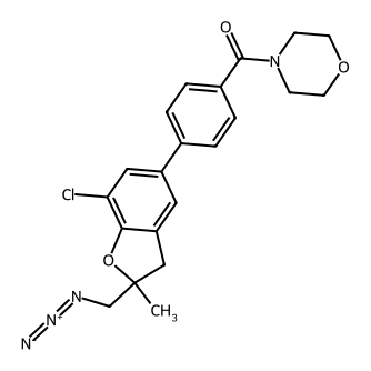 CC1(CN=[N+]=[N-])Cc2cc(-c3ccc(C(=O)N4CCOCC4)cc3)cc(Cl)c2O1